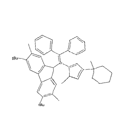 Cc1cc2c(cc1C(C)(C)C)-c1cc(C(C)(C)C)c(C)cc1[CH]2[Zr]([C]1=CC(C2(C)CCCCC2)=CC1C)=[C](c1ccccc1)c1ccccc1